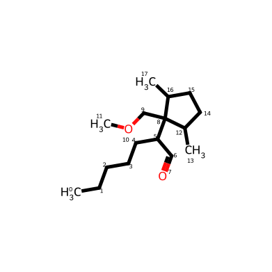 CCCCCC(C=O)C1(COC)C(C)CCC1C